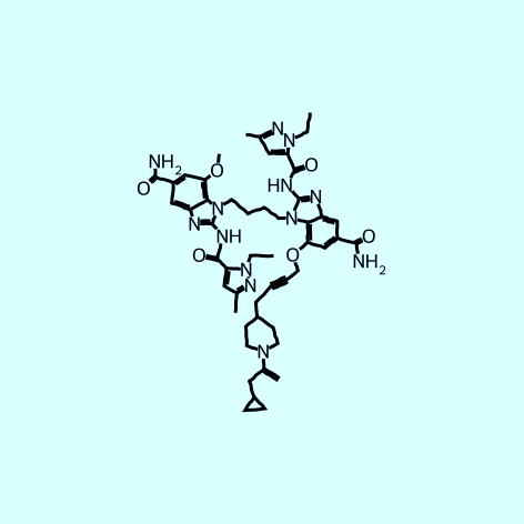 C=C(CC1CC1)N1CCC(CC#CCOc2cc(C(N)=O)cc3nc(NC(=O)c4cc(C)nn4CC)n(CCCCn4c(NC(=O)c5cc(C)nn5CC)nc5cc(C(N)=O)cc(OC)c54)c23)CC1